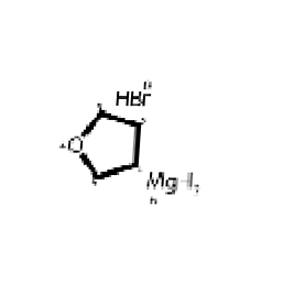 Br.C1CCOC1.[MgH2]